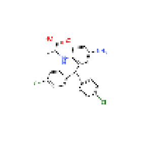 CC(Nc1ccc(N)cc1C(c1ccc(Cl)cc1)c1ccc(Cl)cc1)C(=O)O